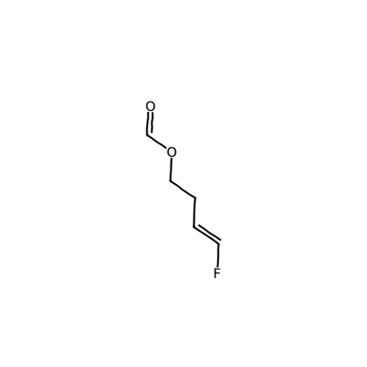 O=COCCC=CF